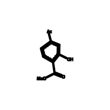 COC(=O)c1ccc(C(C)=O)cc1O